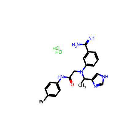 CC(C)c1ccc(NC(=O)CN(c2cccc(C(=N)N)c2)C(C)c2c[nH]cn2)cc1.Cl.Cl